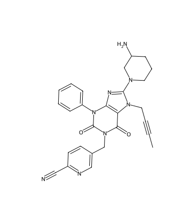 CC#CCn1c(N2CCCC(N)C2)nc2c1c(=O)n(Cc1ccc(C#N)nc1)c(=O)n2-c1ccccc1